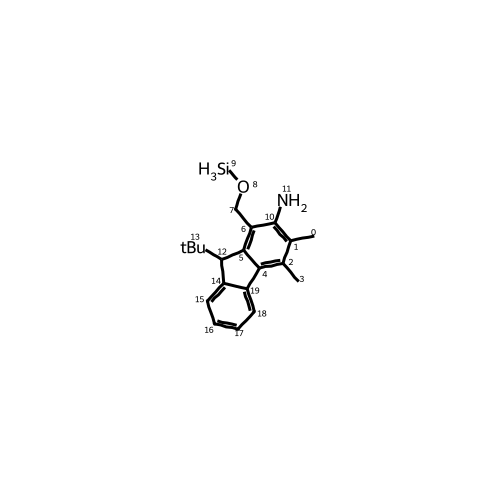 Cc1c(C)c2c(c(CO[SiH3])c1N)C(C(C)(C)C)c1ccccc1-2